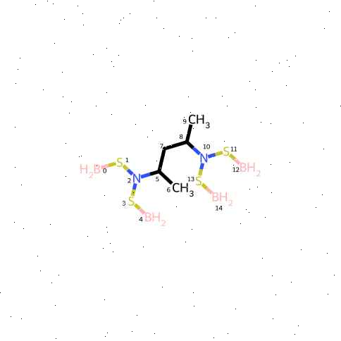 BSN(SB)C(C)CC(C)N(SB)SB